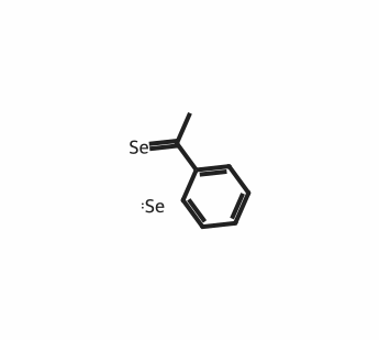 CC(=[Se])c1ccccc1.[Se]